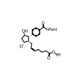 CCCCCC(=O)c1ccc([C@@H]2[C@@H](C/C=C\CCCC(=O)OC(C)C)[C@H](Cl)C[C@H]2O)cc1